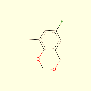 Cc1cc(F)cc2c1OCOC2